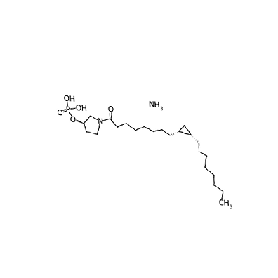 CCCCCCCC[C@H]1C[C@H]1CCCCCCCC(=O)N1CC[C@@H](OP(=O)(O)O)C1.N